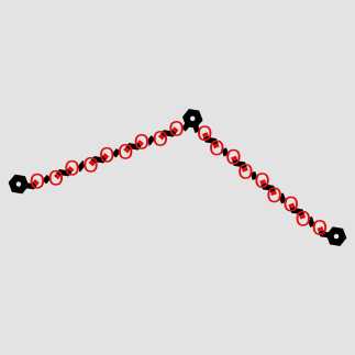 c1ccc(COCCOCCOCCOCCOCCOCCOCCOCCOCc2ccccc2COCCOCCOCCOCCOCCOCCOCCOCCOCc2ccccc2)cc1